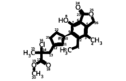 CCc1c(C)c2c(c(O)c1[C@H]1C=C(CC(C)(Cl)C(=O)OC)CC1)C(=O)OC2